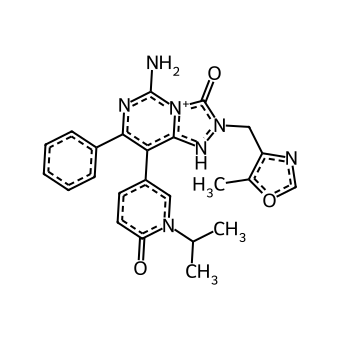 Cc1ocnc1Cn1[nH]c2c(-c3ccc(=O)n(C(C)C)c3)c(-c3ccccc3)nc(N)[n+]2c1=O